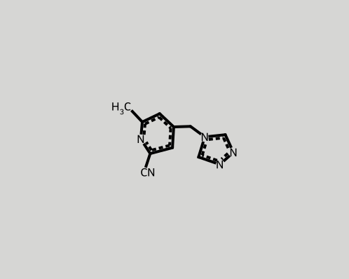 Cc1cc(Cn2cnnc2)cc(C#N)n1